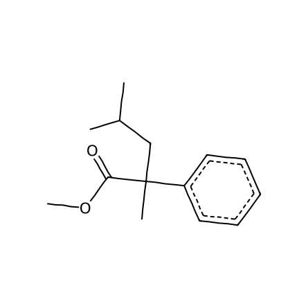 COC(=O)C(C)(CC(C)C)c1ccccc1